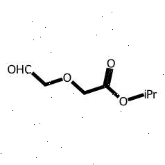 CC(C)OC(=O)COCC=O